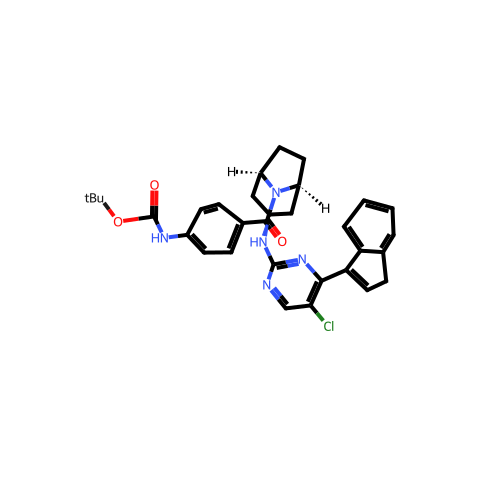 CC(C)(C)OC(=O)Nc1ccc(C(=O)N2[C@@H]3CC[C@H]2C[C@@H](Nc2ncc(Cl)c(C4=CCc5ccccc54)n2)C3)cc1